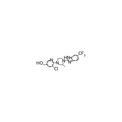 CC1CN(c2ncc(CO)cc2Cl)CCN1c1nc2ccc(C(F)(F)F)cc2[nH]1